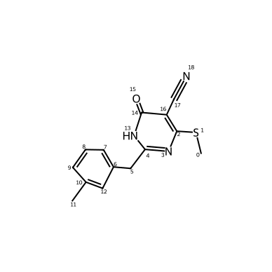 CSc1nc(Cc2cccc(C)c2)[nH]c(=O)c1C#N